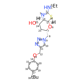 CCNC1=N[C@H]2[C@H](O[C@H](Cn3cc(COc4ccc(C(C)(C)C)cc4)nn3)C[C@@H]2O)S1